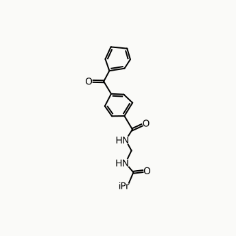 CC(C)C(=O)NCNC(=O)c1ccc(C(=O)c2ccccc2)cc1